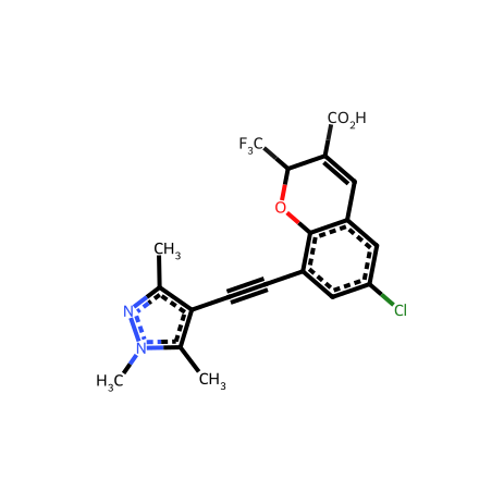 Cc1nn(C)c(C)c1C#Cc1cc(Cl)cc2c1OC(C(F)(F)F)C(C(=O)O)=C2